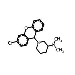 CN(C)C1CCCN(C2c3ccccc3Oc3cc(Cl)ccc32)C1